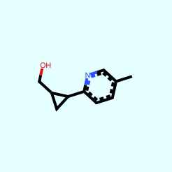 Cc1ccc(C2CC2CO)nc1